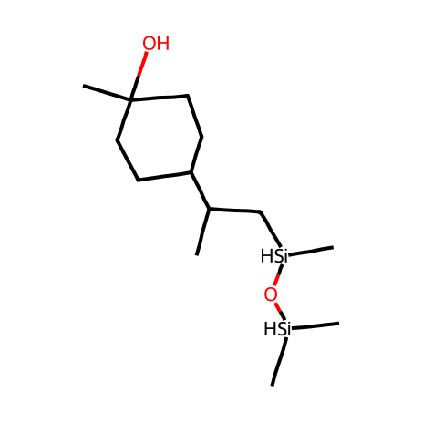 CC(C[SiH](C)O[SiH](C)C)C1CCC(C)(O)CC1